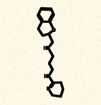 c1ccc2c(c1)CCC(CNCCCNC1=NCCCC1)O2